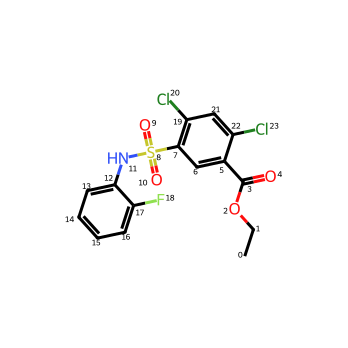 CCOC(=O)c1cc(S(=O)(=O)Nc2ccccc2F)c(Cl)cc1Cl